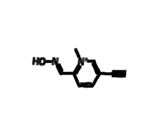 C#Cc1ccc(C=NO)[n+](C)c1